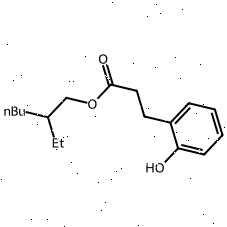 CCCCC(CC)COC(=O)CCc1ccccc1O